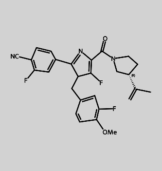 C=C(C)[C@H]1CCN(C(=O)C2=C(F)C(Cc3ccc(OC)c(F)c3)C(c3ccc(C#N)c(F)c3)=N2)C1